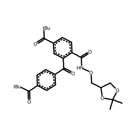 CC1(C)OCC(CONC(=O)c2ccc(C(=O)C(C)(C)C)cc2C(=O)c2ccc(C(=O)C(C)(C)C)cc2)O1